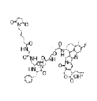 Cc1c(F)cc2nc3c(c4c2c1CC[C@@H]4NC(=O)[C@@H](C)OCNC(=O)CNC(=O)[C@H](Cc1ccccc1)NC(=O)CNC(=O)CNC(=O)CCCCCN1C(=O)C=CC1=O)Cn1c-3cc2c(c1=O)COC(=O)[C@]2(O)CC1CC1